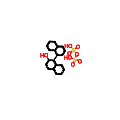 O=S(=O)(O)OS(=O)(=O)O.Oc1ccc2ccccc2c1-c1cccc2ccccc12